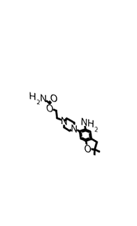 CC1(C)Cc2cc(N)c(N3CCN(CCOC(N)=O)CC3)cc2O1